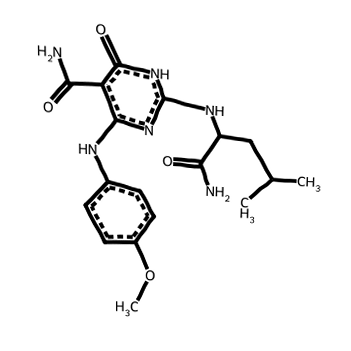 COc1ccc(Nc2nc(NC(CC(C)C)C(N)=O)[nH]c(=O)c2C(N)=O)cc1